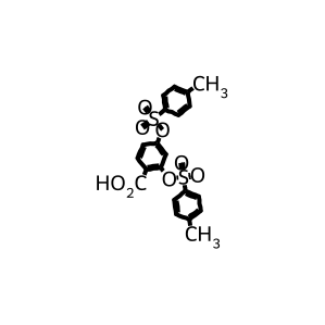 Cc1ccc(S(=O)(=O)Oc2ccc(C(=O)O)c(OS(=O)(=O)c3ccc(C)cc3)c2)cc1